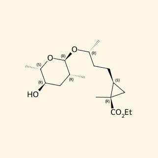 CCOC(=O)[C@]1(C)C[C@@H]1CC[C@@H](C)O[C@@H]1O[C@@H](C)[C@H](O)C[C@H]1C